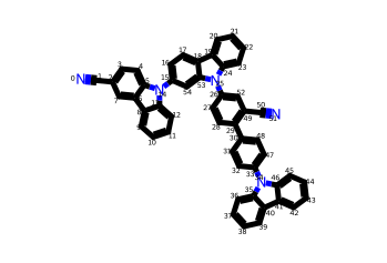 N#Cc1ccc2c(c1)c1ccccc1n2-c1ccc2c3ccccc3n(-c3ccc(-c4ccc(-n5c6ccccc6c6ccccc65)cc4)c(C#N)c3)c2c1